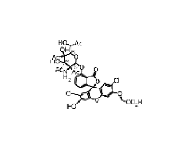 CC(=O)C(O)[C@H]1O[C@@H](Oc2cccc3c2C(=O)OC32c3cc(Cl)c(O)cc3Oc3cc(OCC(=O)O)c(Cl)cc32)[C@@](N)(C(C)=O)[C@](O)(C(C)=O)[C@@]1(O)C(C)=O